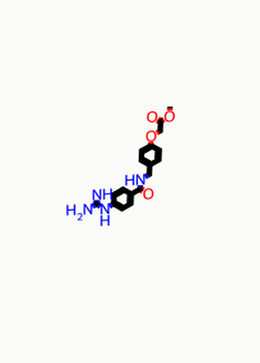 COC(=O)COc1ccc(CNC(=O)c2ccc(NC(=N)N)cc2)cc1